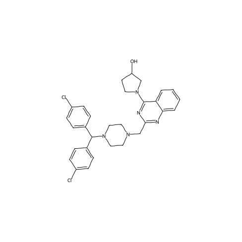 OC1CCN(c2nc(CN3CCN(C(c4ccc(Cl)cc4)c4ccc(Cl)cc4)CC3)nc3ccccc23)C1